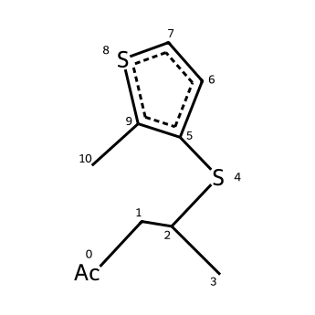 CC(=O)CC(C)Sc1ccsc1C